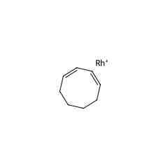 C1=CCCCCC=C1.[Rh+]